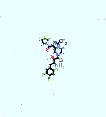 NC(Cc1cc(F)c(F)cc1F)C(=O)C(=O)N1CCn2c(C(F)(F)F)nc(C(=O)N3CCSC3)c2C1